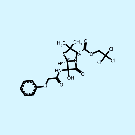 CC1(C)S[C@H]2N(C(=O)C2(O)NC(=O)COc2ccccc2)[C@H]1C(=O)OCC(Cl)(Cl)Cl